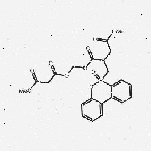 COC(=O)CC(=O)OCOC(=O)C(CC(=O)OC)CP1(=O)Oc2ccccc2-c2ccccc21